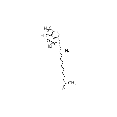 Cc1ccc(CCCCCCCCCCCCC(C)C)c(S(=O)(=O)O)c1C.[Na]